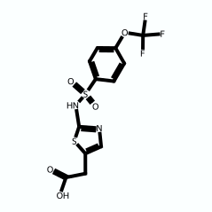 O=C(O)Cc1cnc(NS(=O)(=O)c2ccc(OC(F)(F)F)cc2)s1